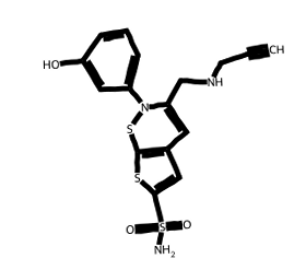 C#CCNCC1=Cc2cc(S(N)(=O)=O)sc2SN1c1cccc(O)c1